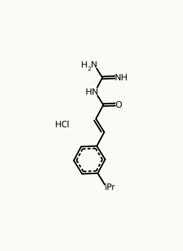 CC(C)c1cccc(/C=C/C(=O)NC(=N)N)c1.Cl